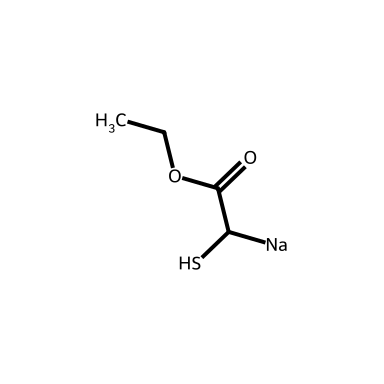 CCOC(=O)[CH]([Na])S